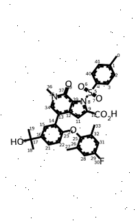 Cc1ccc(S(=O)(=O)n2c(C(=O)O)cc3c(-c4cc(C(C)(C)O)ccc4Oc4c(C)cc(F)cc4C)cn(C)c(=O)c32)cc1